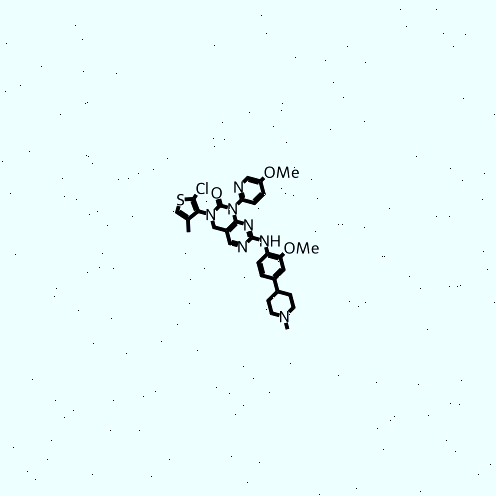 COc1ccc(N2C(=O)N(c3c(C)csc3Cl)Cc3cnc(Nc4ccc(C5CCN(C)CC5)cc4OC)nc32)nc1